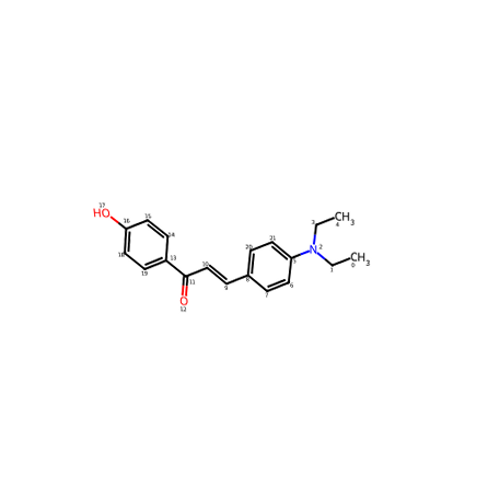 CCN(CC)c1ccc(/C=C/C(=O)c2ccc(O)cc2)cc1